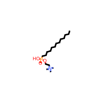 CCCCCCCCCCCCCP(=O)(O)OCC[N+](C)(C)C